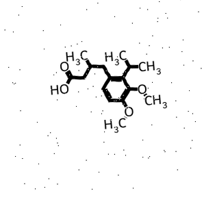 COc1ccc(CC(C)CC(=O)O)c(C(C)C)c1OC